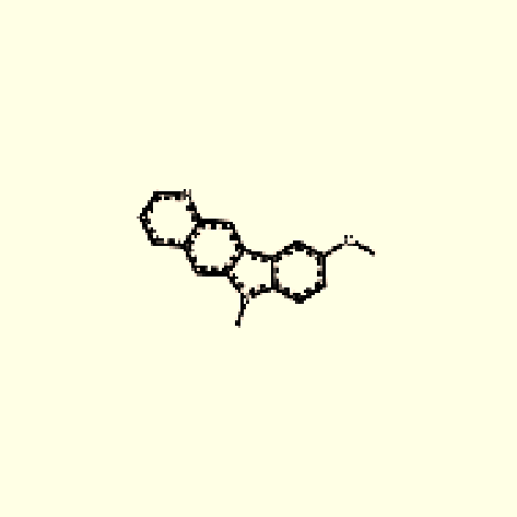 COc1ccc2c(c1)c1cc3ncccc3cc1n2C